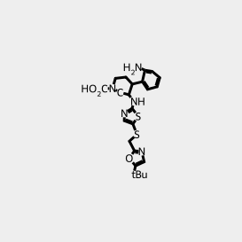 CC(C)(C)c1cnc(CSc2cnc(NC3CN(C(=O)O)CCC3c3ccccc3N)s2)o1